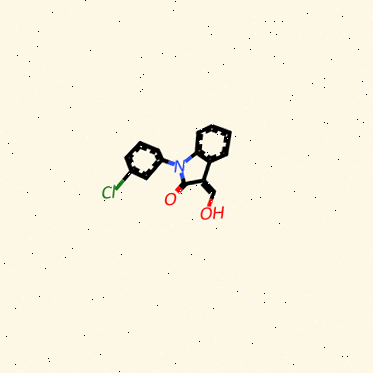 O=C1C(=CO)c2ccccc2N1c1cccc(Cl)c1